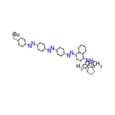 CCC(C)Cc1ccc(/N=N/c2ccc(/N=N/c3ccc(/N=N/c4ccc(NC5CC6CCC5(C)C6(C)C)c5ccccc45)cc3)cc2)cc1